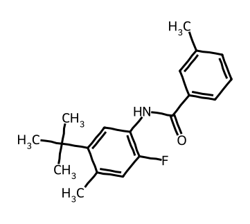 Cc1cccc(C(=O)Nc2cc(C(C)(C)C)c(C)cc2F)c1